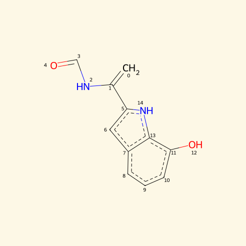 C=C(NC=O)c1cc2cccc(O)c2[nH]1